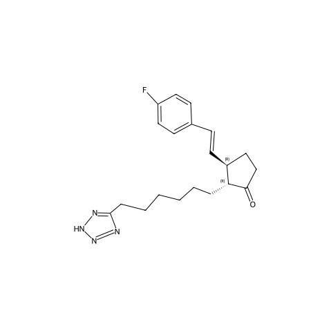 O=C1CC[C@H](C=Cc2ccc(F)cc2)[C@H]1CCCCCCc1nn[nH]n1